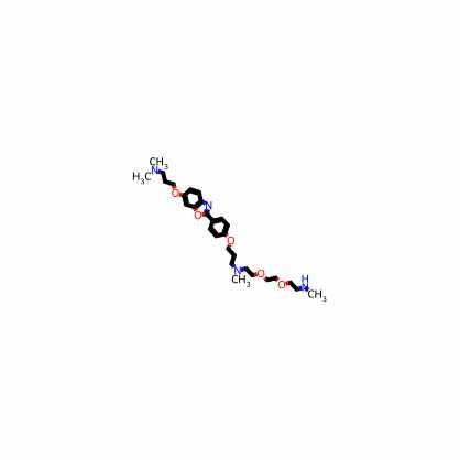 CNCCOCCOCCN(C)CCCOc1ccc(-c2nc3ccc(OCCCN(C)C)cc3o2)cc1